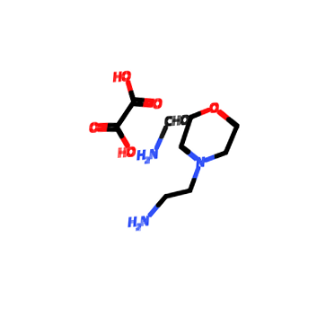 NC=O.NCCN1CCOCC1.O=C(O)C(=O)O